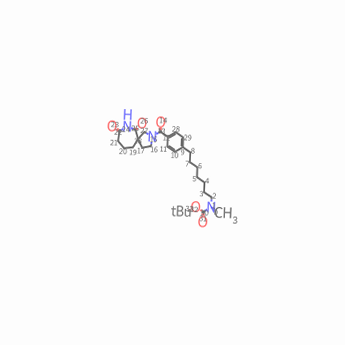 CN(CCCCCCCc1ccc(C(=O)N2CCC3(CCCC(=O)NC3=O)C2)cc1)C(=O)OC(C)(C)C